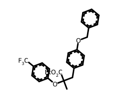 CCOC(=O)C(C)(Cc1ccc(OCc2ccccc2)cc1)Oc1ccc(C(F)(F)F)cc1